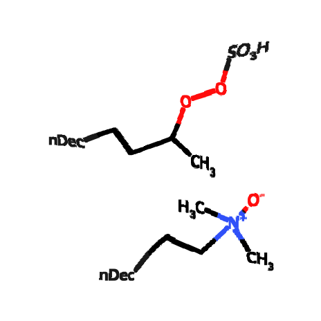 CCCCCCCCCCCCC(C)OOS(=O)(=O)O.CCCCCCCCCCCC[N+](C)(C)[O-]